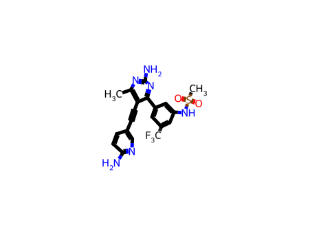 Cc1nc(N)nc(-c2cc(NS(C)(=O)=O)cc(C(F)(F)F)c2)c1C#Cc1ccc(N)nc1